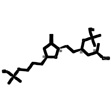 C=C1C[C@H](CCCO[Si](C)(C)C(C)(C)C)O[C@H]1CC[C@H](C[C@@H](C)C=O)O[Si](C)(C)C(C)(C)C